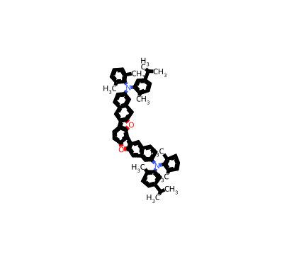 Cc1ccc(C(C)C)cc1N(c1ccc2cc3c(cc2c1)oc1c3ccc2oc3cc4cc(N(c5cc(C(C)C)ccc5C)c5c(C)cccc5C)ccc4cc3c21)c1c(C)cccc1C